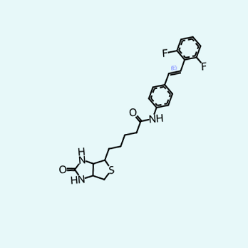 O=C(CCCCC1SCC2NC(=O)NC21)Nc1ccc(/C=C/c2c(F)cccc2F)cc1